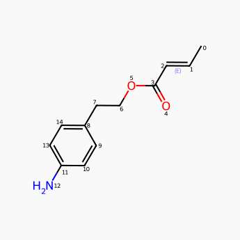 C/C=C/C(=O)OCCc1ccc(N)cc1